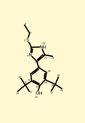 CCSc1nc(-c2cc(C(C)(C)C)c(O)c(C(C)(C)C)c2)c(C)[nH]1